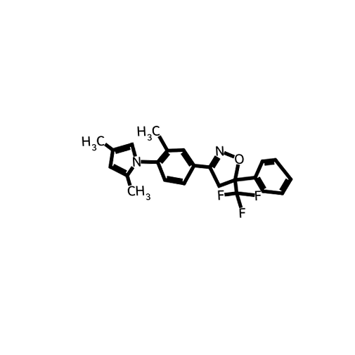 Cc1cc(C)n(-c2ccc(C3=NOC(c4ccccc4)(C(F)(F)F)C3)cc2C)c1